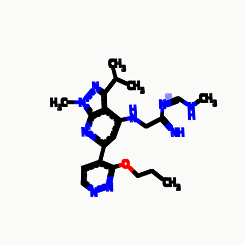 CCCOc1nnccc1-c1cc(NCC(=N)/N=C\NC)c2c(C(C)C)nn(C)c2n1